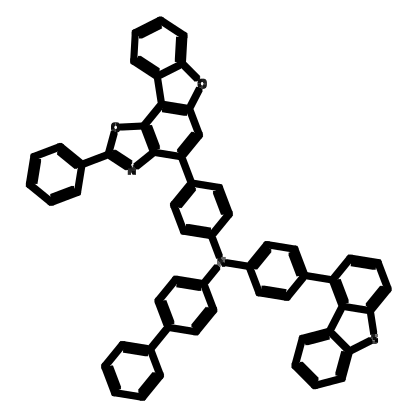 c1ccc(-c2ccc(N(c3ccc(-c4cc5oc6ccccc6c5c5oc(-c6ccccc6)nc45)cc3)c3ccc(-c4cccc5sc6ccccc6c45)cc3)cc2)cc1